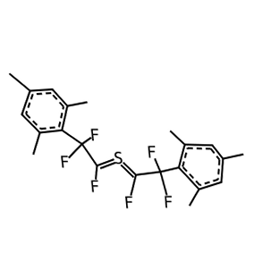 Cc1cc(C)c(C(F)(F)C(F)=S=C(F)C(F)(F)c2c(C)cc(C)cc2C)c(C)c1